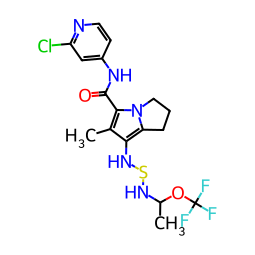 Cc1c(NSNC(C)OC(F)(F)F)c2n(c1C(=O)Nc1ccnc(Cl)c1)CCC2